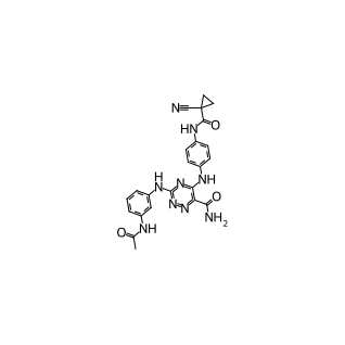 CC(=O)Nc1cccc(Nc2nnc(C(N)=O)c(Nc3ccc(NC(=O)C4(C#N)CC4)cc3)n2)c1